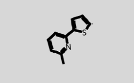 Cc1cccc(-c2cc[c]s2)n1